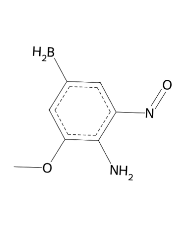 Bc1cc(N=O)c(N)c(OC)c1